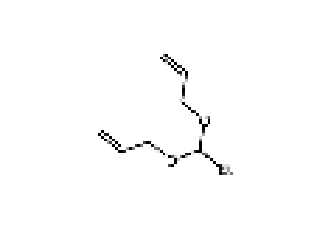 C=CCO[C](CC)OCC=C